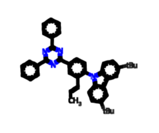 C/C=C/c1cc(-c2nc(-c3ccccc3)nc(-c3ccccc3)n2)ccc1-n1c2ccc(C(C)(C)C)cc2c2cc(C(C)(C)C)ccc21